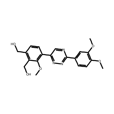 COc1ccc(-c2ncc(-c3ccc(CO)c(CO)c3OC)nn2)cc1OC